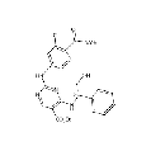 CCOC(=O)c1cnc(Nc2ccc(C(=O)NC)c(Cl)c2)nc1N[C@H](CO)c1ccccc1